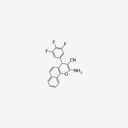 N#CC1=C(N)Oc2c(ccc3ccccc23)C1c1cc(F)c(F)c(F)c1